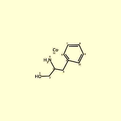 NC(CO)Cc1ccccc1.[Co]